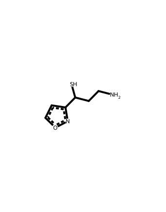 NCCC(S)c1ccon1